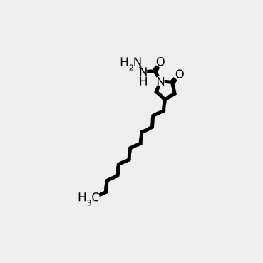 CCCCCCCCCCCCC1CC(=O)N(C(=O)NN)C1